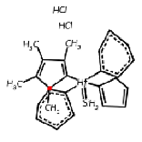 CC1=C(C)C(C)[C]([Hf](=[SiH2])([C]2=CC=CC2)([c]2ccccc2)[c]2ccccc2)=C1C.Cl.Cl